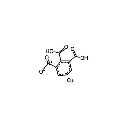 O=C(O)c1cccc([N+](=O)[O-])c1C(=O)O.[Cu]